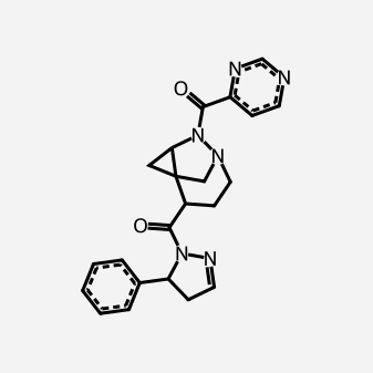 O=C(C1CCN2CC13CC3N2C(=O)c1ccncn1)N1N=CCC1c1ccccc1